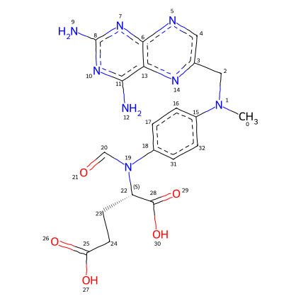 CN(Cc1cnc2nc(N)nc(N)c2n1)c1ccc(N(C=O)[C@@H](CCC(=O)O)C(=O)O)cc1